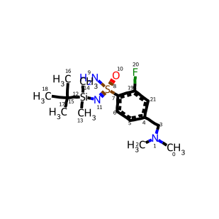 CN(C)Cc1ccc(S(N)(=O)=N[Si](C)(C)C(C)(C)C)c(F)c1